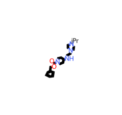 CC(C)N1CCN(CCNC2CCN(C(=O)OCc3ccccc3)CC2)CC1